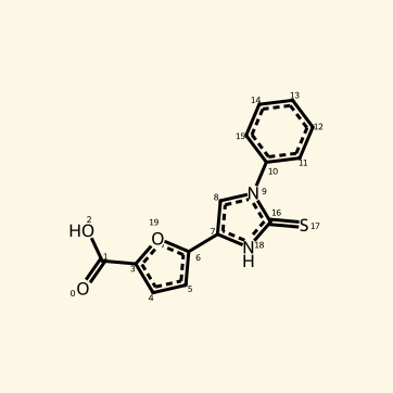 O=C(O)c1ccc(-c2cn(-c3ccccc3)c(=S)[nH]2)o1